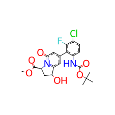 COC(=O)[C@@H]1CC(O)c2cc(-c3c(NC(=O)OC(C)(C)C)ccc(Cl)c3F)cc(=O)n21